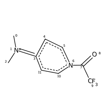 C[N+](C)=c1ccn(C(=O)C(F)(F)F)cc1